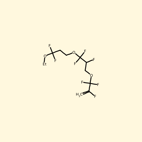 C=C(F)C(F)(F)OCC(F)C(F)(F)OCCC(F)(F)OCC